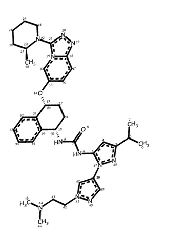 CC(C)c1cc(NC(=O)N[C@H]2CC[C@@H](Oc3ccc4nnc(N5CCCC[C@@H]5C)n4c3)c3ccccc32)n(-c2cnn(CCN(C)C)c2)n1